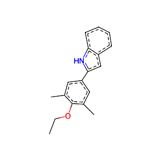 CCOc1c(C)cc(-c2cc3ccccc3[nH]2)cc1C